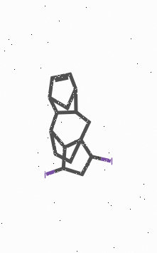 IC1CC(I)C23CCC(C4C5C=CC(C5)C4C2)C13